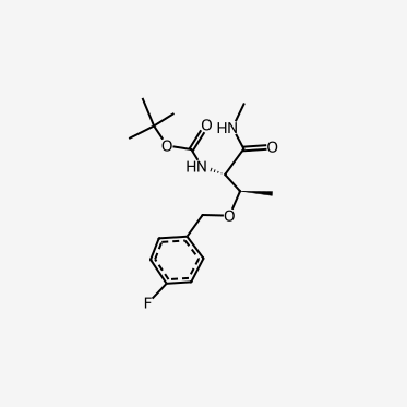 CNC(=O)[C@@H](NC(=O)OC(C)(C)C)[C@@H](C)OCc1ccc(F)cc1